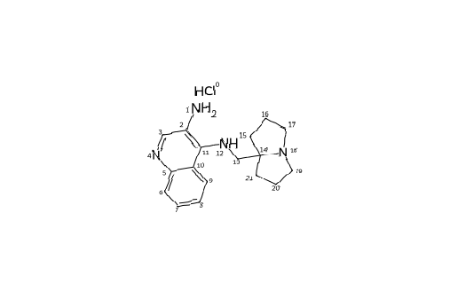 Cl.Nc1cnc2ccccc2c1NCC12CCCN1CCC2